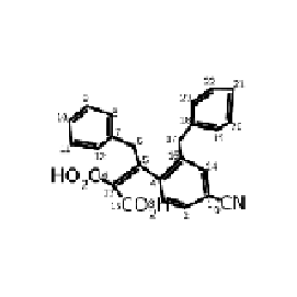 N#Cc1ccc(C(Cc2ccccc2)=C(C(=O)O)C(=O)O)c(Cc2ccccc2)c1